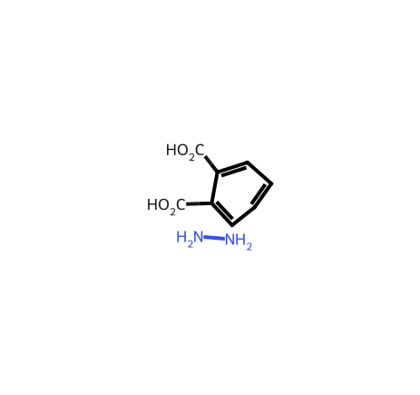 NN.O=C(O)c1ccccc1C(=O)O